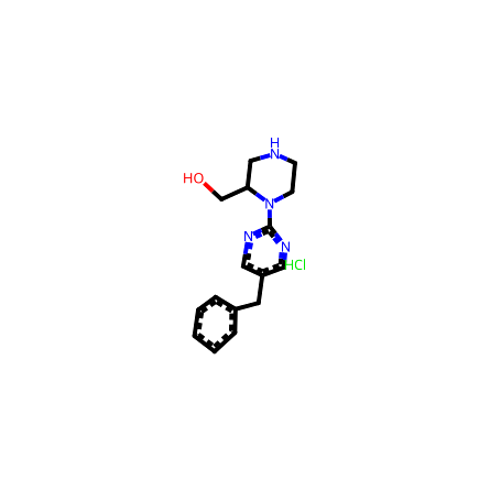 Cl.OCC1CNCCN1c1ncc(Cc2ccccc2)cn1